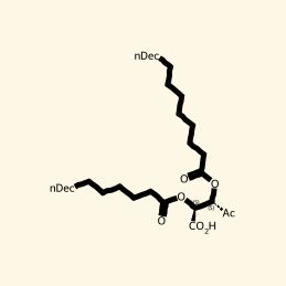 CCCCCCCCCCCCCCCCCC(=O)O[C@H](C(C)=O)[C@H](OC(=O)CCCCCCCCCCCCCCC)C(=O)O